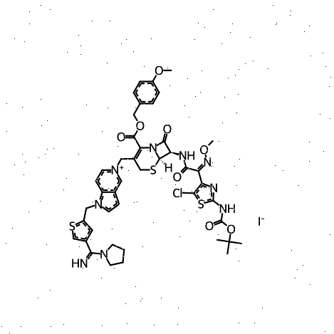 CO/N=C(\C(=O)N[C@@H]1C(=O)N2C(C(=O)OCc3ccc(OC)cc3)=C(C[n+]3ccc4c(ccn4Cc4cc(C(=N)N5CCCC5)cs4)c3)CS[C@H]12)c1nc(NC(=O)OC(C)(C)C)sc1Cl.[I-]